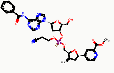 C=C1C[C@H](c2ccnc(C(=O)OC)c2)O[C@@H]1COP(=S)(OCCC#N)O[C@H]1C[C@H](n2cnc3c(NC(=O)c4ccccc4)ncnc32)O[C@@H]1CO